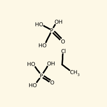 CCCl.O=P(O)(O)O.O=P(O)(O)O